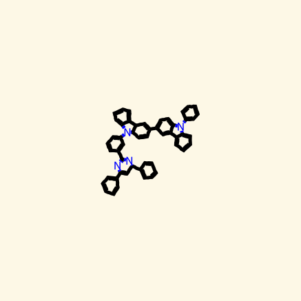 C1=CC2C(C=C1c1ccc3c(c1)c1ccccc1n3-c1ccccc1)c1ccccc1N2c1cccc(-c2nc(-c3ccccc3)cc(-c3ccccc3)n2)c1